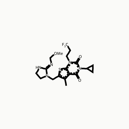 COC/N=C1\NCCN1Cc1sc2c(c1C)c(=O)n(C1CC1)c(=O)n2CCC(F)(F)F